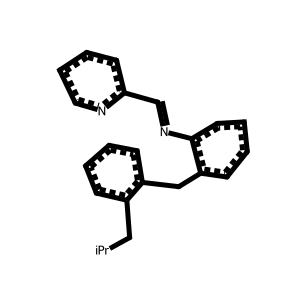 CC(C)Cc1ccccc1Cc1ccccc1N=Cc1ccccn1